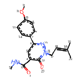 CNC(=O)c1cc(-c2ccc(OC)cc2)nn(CC=C(C)C)c1=O